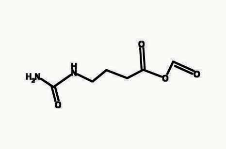 NC(=O)NCCCC(=O)OC=O